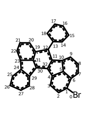 Brc1ccc2c3c1cccc3c1c(-c3ccccc3)c3cccc4c5ccccc5c(c34)c21